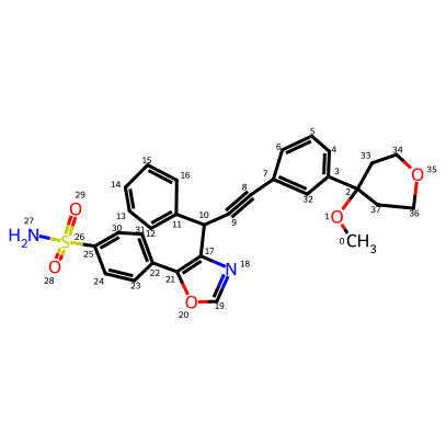 COC1(c2cccc(C#CC(c3ccccc3)c3ncoc3-c3ccc(S(N)(=O)=O)cc3)c2)CCOCC1